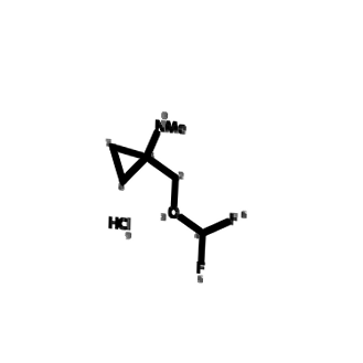 CNC1(COC(F)F)CC1.Cl